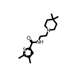 Cc1cc(C(=O)NCCN2CCC(C)(C)CC2)sc1C